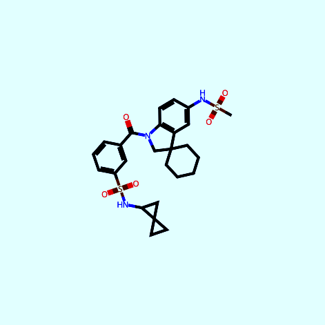 CS(=O)(=O)Nc1ccc2c(c1)C1(CCCCC1)CN2C(=O)c1cccc(S(=O)(=O)NC2CC23CC3)c1